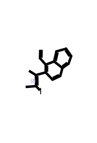 C=Cc1c(/C(C)=C(/C)I)ccc2ccccc12